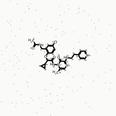 CC(=O)NCc1cc(Cl)ccc1OC(C(=O)Nn1c(C)cnc(NCCc2ccncc2)c1=O)C1CC1